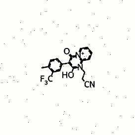 Cc1ccc(-c2c(O)n(CCC#N)c3cccc[n+]3c2=O)cc1C(F)(F)F